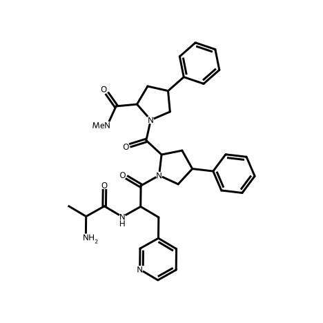 CNC(=O)C1CC(c2ccccc2)CN1C(=O)C1CC(c2ccccc2)CN1C(=O)C(Cc1cccnc1)NC(=O)C(C)N